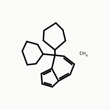 C.C1=CC2=CC=CC(C3CCCCC3)(C3CCCCC3)C2=C1